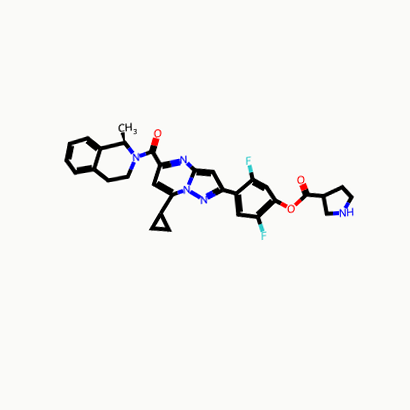 C[C@@H]1c2ccccc2CCN1C(=O)c1cc(C2CC2)n2nc(-c3cc(F)c(OC(=O)C4CCNC4)cc3F)cc2n1